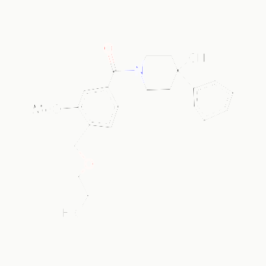 COc1cc(C(=O)N2CCC(C)(c3ccccc3)CC2)ccc1COCCC(F)(F)F